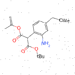 C=C(C)OC(=O)C(C(=O)OC(C)(C)C)c1ccc(COC)cc1N